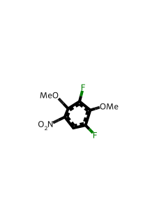 COc1c(F)cc([N+](=O)[O-])c(OC)c1F